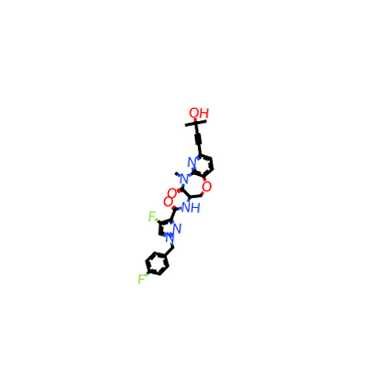 CN1C(=O)C(NC(=O)c2nn(Cc3ccc(F)cc3)cc2F)COc2ccc(C#CC(C)(C)O)nc21